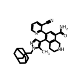 Cc1c(-c2c(-c3ncccc3C#N)cc(C(N)=O)c3c2CCNC3)cnn1CC12CC3CC(CC(C3)C1)C2